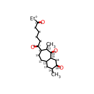 CCC(=O)CCCCC(=O)C1CCC2CC(C)C(=O)CC2C(=O)C1C